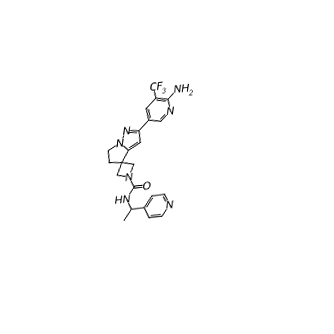 CC(NC(=O)N1CC2(CCn3nc(-c4cnc(N)c(C(F)(F)F)c4)cc32)C1)c1ccncc1